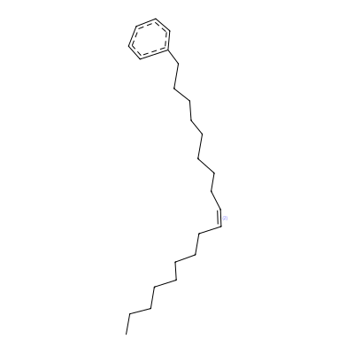 CCCCCCCC/C=C\CCCCCCCCc1ccccc1